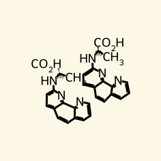 C[C@H](Nc1ccc2ccc3cccnc3c2n1)C(=O)O.C[C@H](Nc1ccc2ccc3cccnc3c2n1)C(=O)O